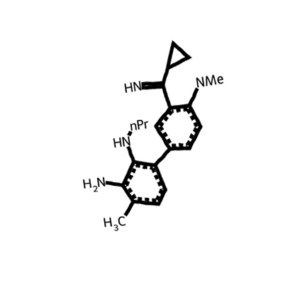 CCCNc1c(-c2ccc(NC)c(C(=N)C3CC3)c2)ccc(C)c1N